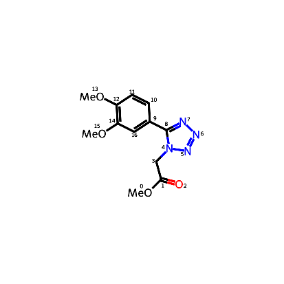 COC(=O)Cn1nnnc1-c1ccc(OC)c(OC)c1